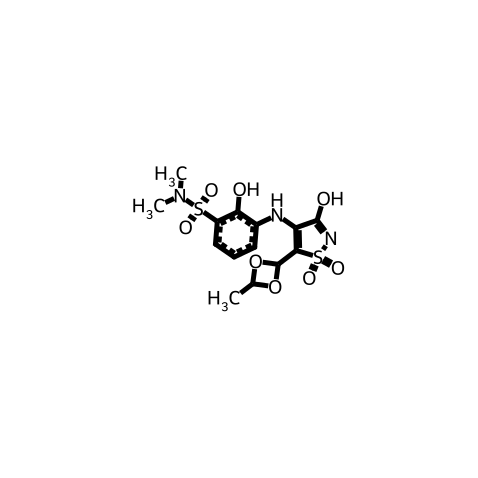 CC1OC(C2=C(Nc3cccc(S(=O)(=O)N(C)C)c3O)C(O)=NS2(=O)=O)O1